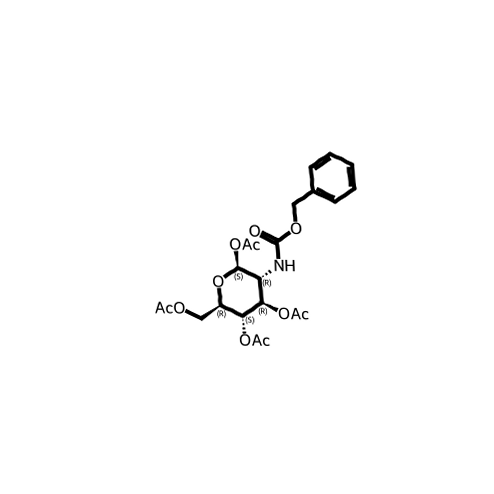 CC(=O)OC[C@H]1O[C@@H](OC(C)=O)[C@H](NC(=O)OCc2ccccc2)[C@@H](OC(C)=O)[C@@H]1OC(C)=O